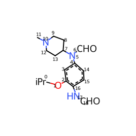 CC(C)Oc1cc(N(C=O)C2CCN(C)CC2)ccc1NC=O